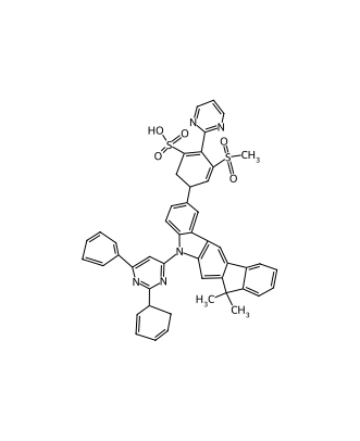 CC1(C)c2ccccc2-c2cc3c4cc(C5C=C(S(C)(=O)=O)C(c6ncccn6)=C(S(=O)(=O)O)C5)ccc4n(-c4cc(-c5ccccc5)nc(C5C=CC=CC5)n4)c3cc21